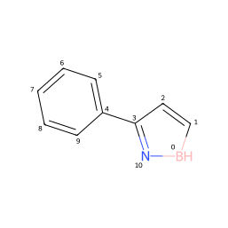 B1C=CC(c2ccccc2)=N1